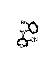 CN(c1ccccc1Br)c1ccccc1C#N